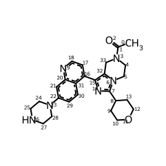 CC(=O)N1CCn2c(C3CCOCC3)nc(-c3ccnc4cc(N5CCNCC5)ccc34)c2C1